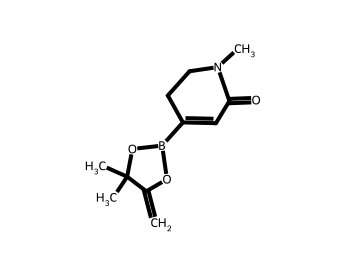 C=C1OB(C2=CC(=O)N(C)CC2)OC1(C)C